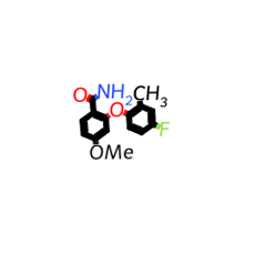 COc1ccc(C(N)=O)c(Oc2ccc(F)cc2C)c1